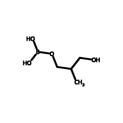 CC(CO)COB(O)O